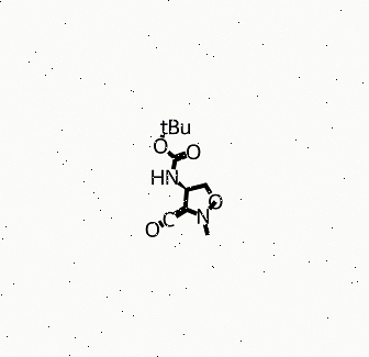 CN1OC[C@H](NC(=O)OC(C)(C)C)C1=C=O